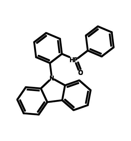 O=[PH](c1ccccc1)c1ccccc1-n1c2ccccc2c2ccccc21